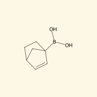 OB(O)C12C=CC(CC1)C2